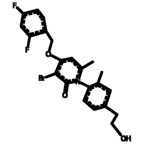 Cc1cc(CCO)ccc1-n1c(C)cc(OCc2ccc(F)cc2F)c(Br)c1=O